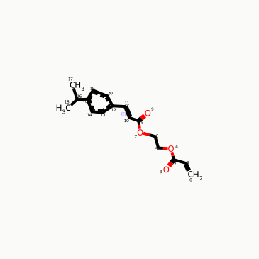 C=CC(=O)OCCOC(=O)/C=C/c1ccc(C(C)C)cc1